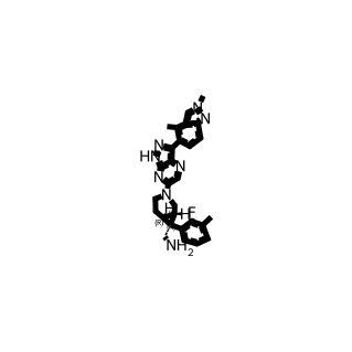 Cc1cccc([C@@]2(CN)[C@@H]3CCN(c4cnc5c(-c6ccc7nn(C)cc7c6C)n[nH]c5n4)C[C@@H]32)c1F